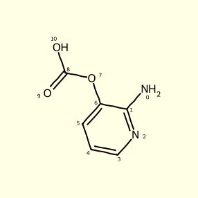 Nc1ncccc1OC(=O)O